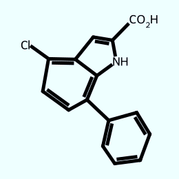 O=C(O)c1cc2c(Cl)ccc(-c3ccccc3)c2[nH]1